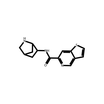 O=C(NC1CC2CNC1C2)c1cc2sccc2cn1